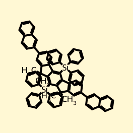 CC1(C)c2cc(-c3ccc4ccccc4c3)ccc2-c2c1c([Si](c1ccccc1)(c1ccccc1)c1ccccc1)c1c(c2[Si](c2ccccc2)(c2ccccc2)c2ccccc2)-c2ccc(-c3ccc4ccccc4c3)cc2C1(C)C